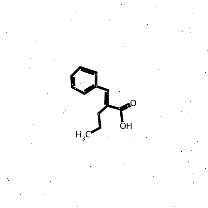 CCC/C(=C\c1ccccc1)C(=O)O